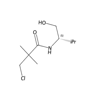 CC(C)[C@@H](CO)NC(=O)C(C)(C)CCl